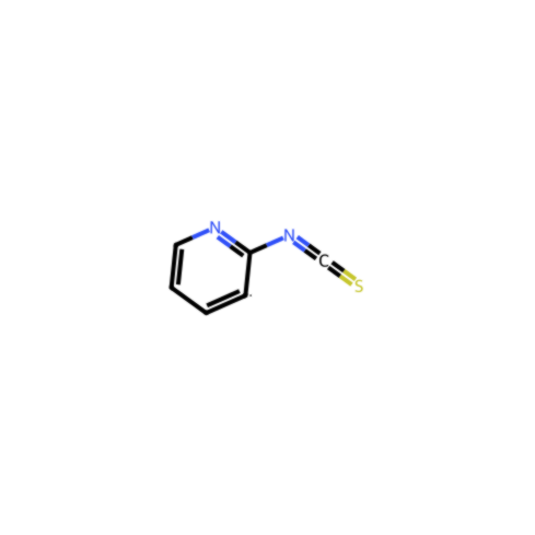 S=C=Nc1[c]cccn1